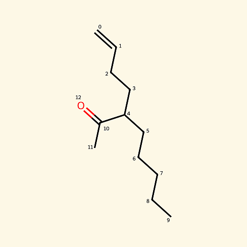 C=CCCC(CCCCC)C(C)=O